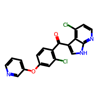 O=C(c1ccc(Oc2cccnc2)cc1Cl)c1c[nH]c2nccc(Cl)c12